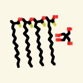 CCCCCCCCCCCCC(C)C(O)=S.CCCCCCCCCCCCC(C)C(O)=S.CCCCCCCCCCCCC(C)C(O)=S.CCCCCCCCCCCCC(C)C(O)=S.OCC(CO)(CO)CO